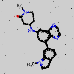 CN1CCC(Nc2cc(-c3ccc4ccn(C)c4c3)c3nccnc3c2)CC1=O